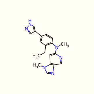 CCc1cc(-c2cn[nH]c2)ccc1N(C)c1cc2c(cn1)ncn2C